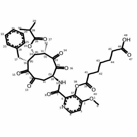 COc1ccnc(C(=O)N[C@H]2CC(=O)C(=O)[C@H](Cc3ccccc3)[C@H](OC(=O)C(C)C)[C@H](C)C(=O)C2=O)c1OC(=O)CCCCCC(=O)O